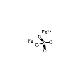 O=S(=O)([O-])[O-].[Fe+2].[Fe]